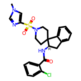 Cn1cnc(S(=O)(=O)N2CCC3(CC2)c2ccccc2C[C@H]3NC(=O)c2ccccc2Cl)c1